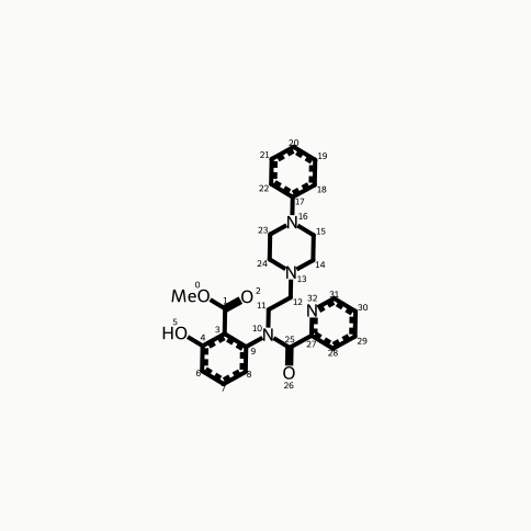 COC(=O)c1c(O)cccc1N(CCN1CCN(c2ccccc2)CC1)C(=O)c1ccccn1